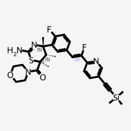 C[C@@H]1[C@@](C)(C(=O)N2CCOCC2)SC(N)=N[C@]1(C)c1cc(/C=C(\F)c2ccc(C#C[Si](C)(C)C)cn2)ccc1F